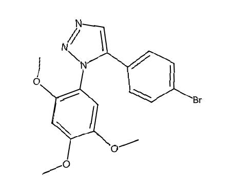 COc1cc(OC)c(-n2nncc2-c2ccc(Br)cc2)cc1OC